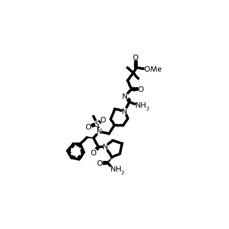 COC(=O)C(C)(C)CC(=O)N=C(N)N1CCC(CN([C@H](Cc2ccccc2)C(=O)N2CCC[C@H]2C(N)=O)S(C)(=O)=O)CC1